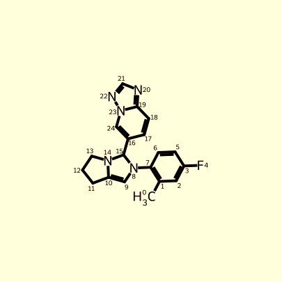 Cc1cc(F)ccc1N1C=C2CCCN2C1c1ccc2ncnn2c1